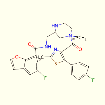 Cc1nc(C(=O)[N@@+]2(C)CCNC(CNC(=O)c3cc(F)cc4ccoc34)C2)c(-c2ccc(F)cc2)s1